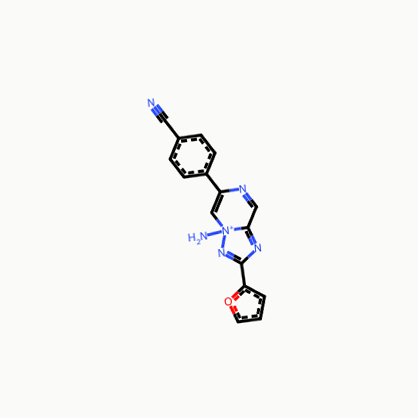 N#Cc1ccc(C2=C[N+]3(N)N=C(c4ccco4)N=C3C=N2)cc1